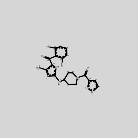 Nc1nc(NC2CCN(C(=O)c3ccno3)CC2)sc1C(=O)c1c(F)cccc1F